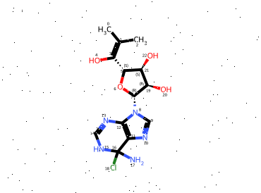 CC(C)=C(O)[C@H]1O[C@@H](n2cnc3c2N=CNC3(N)Cl)[C@H](O)[C@@H]1O